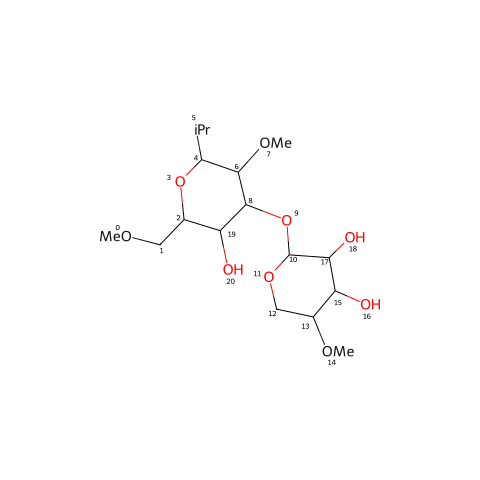 COCC1OC(C(C)C)C(OC)C(OC2OCC(OC)C(O)C2O)C1O